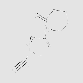 N#Cc1ccc(N2CCCCC2=O)cc1